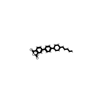 CCCCCC1CCC(c2ccc(-c3ccc4c(c3)C(=O)OC4=O)cc2)CC1